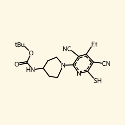 CCc1c(C#N)c(S)nc(N2CCC(NC(=O)OC(C)(C)C)CC2)c1C#N